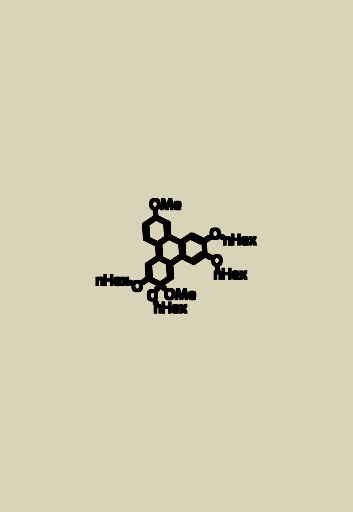 CCCCCCOC1=Cc2c3c(c4cc(OCCCCCC)c(OCCCCCC)cc4c2=CC1(OC)OCCCCCC)=CC(OC)C=C3